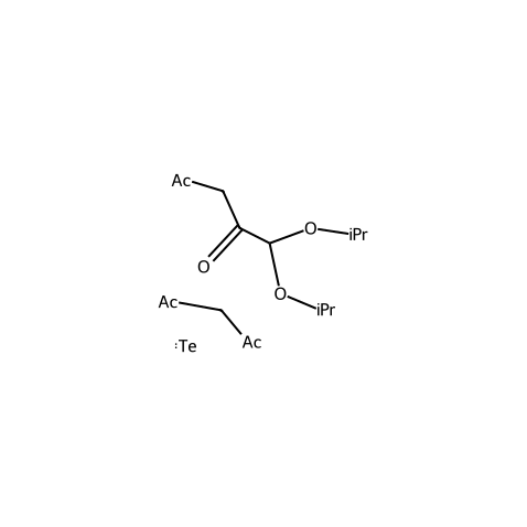 CC(=O)CC(=O)C(OC(C)C)OC(C)C.CC(=O)CC(C)=O.[Te]